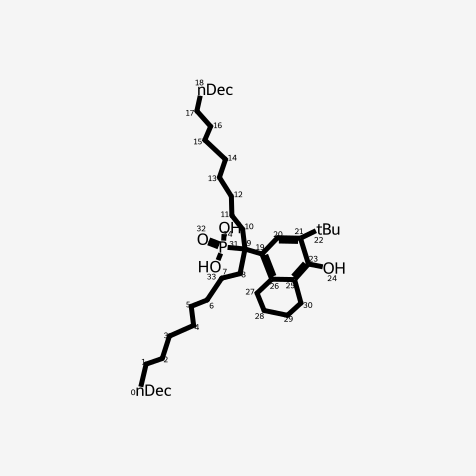 CCCCCCCCCCCCCCCCCCC(CCCCCCCCCCCCCCCCCC)(c1cc(C(C)(C)C)c(O)c2c1CCCC2)P(=O)(O)O